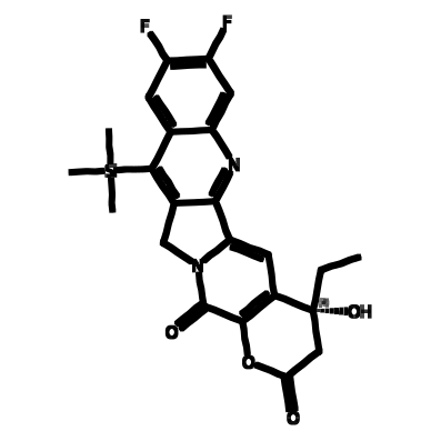 CC[C@@]1(O)CC(=O)Oc2c1cc1n(c2=O)Cc2c-1nc1cc(F)c(F)cc1c2[Si](C)(C)C